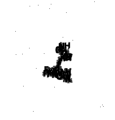 CNC(=O)c1ccc(OC)c(NCC#Cc2cc(C(=O)NC3[C@H](C)CN(C)C[C@H]3C)c3ncn(CC(F)(F)F)c3c2)c1